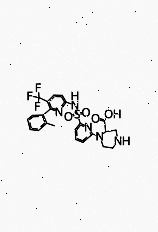 Cc1ccccc1-c1nc(NS(=O)(=O)c2cccc(N3CCNCC3C(=O)O)n2)ccc1C(F)(F)F